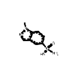 Cn1ncc2cc(S(=N)(N)=O)ccc21